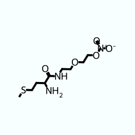 CSCCC(N)C(=O)NCCOCCO[N+](=O)[O-]